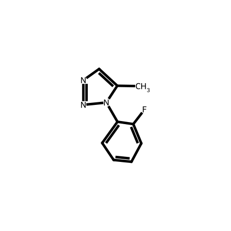 Cc1cnnn1-c1ccccc1F